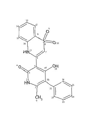 Cc1[nH]c(=O)c(C2=CS(=O)(=O)c3ccccc3N2)c(O)c1-c1ccccc1